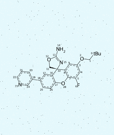 CC(C)(C)COc1cc(F)c2c(c1)[C@]1(COC(N)=N1)c1cc(-c3cccnc3)ccc1O2